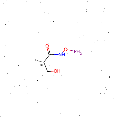 C[C@@H](CO)C(=O)NOP